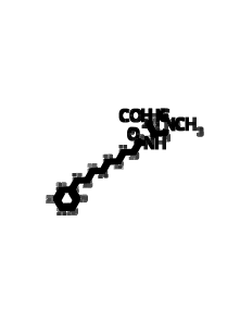 CN(C)CC(CC(=O)O)NC(=O)CCCCCCCCc1ccccc1